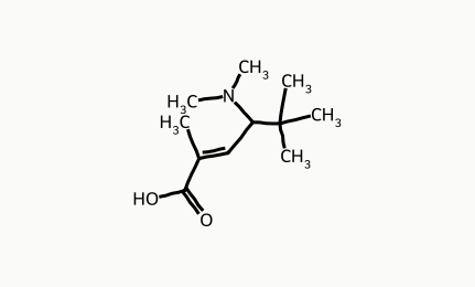 C/C(=C\C(N(C)C)C(C)(C)C)C(=O)O